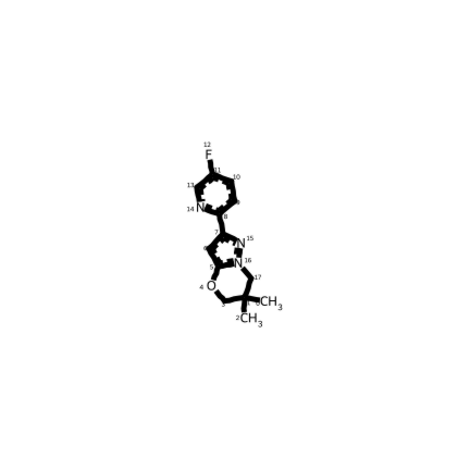 CC1(C)COc2cc(-c3ccc(F)cn3)nn2C1